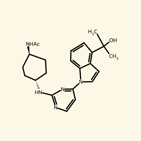 CC(=O)N[C@H]1CC[C@H](Nc2nccc(-n3ccc4c(C(C)(C)O)cccc43)n2)CC1